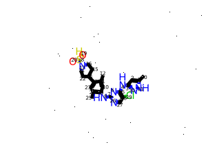 Cc1cc(Nc2nc(Nc3cc(C)c(C4CCN([SH](=O)=O)CC4)cc3C)ncc2Cl)n[nH]1